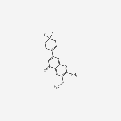 CCc1cc2c(=O)cc(C3=CCC(F)(F)CC3)cc-2oc1N